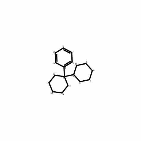 [c]1ccc(C2(C3CCCCC3)CCCCC2)cc1